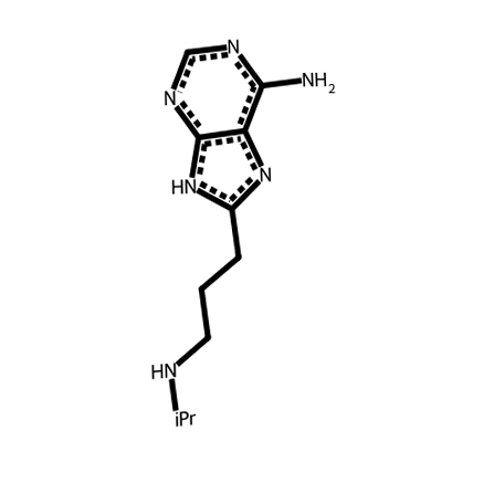 CC(C)NCCCc1nc2c(N)ncnc2[nH]1